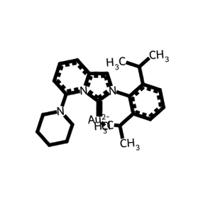 CC(C)c1cccc(C(C)C)c1-n1cc2cccc(N3CCCCC3)n2[c]1=[Au-2][Cl]